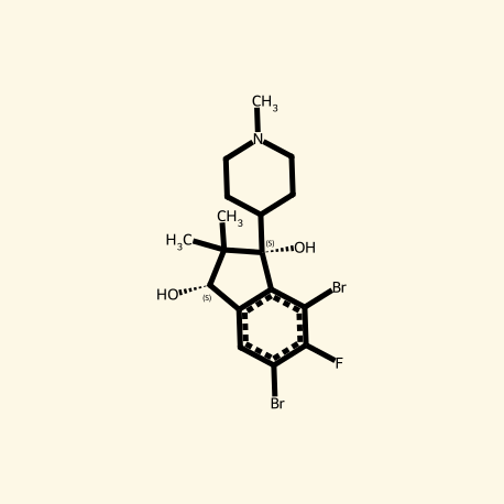 CN1CCC([C@@]2(O)c3c(cc(Br)c(F)c3Br)[C@H](O)C2(C)C)CC1